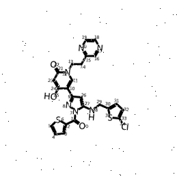 O=C(c1cccs1)n1nc(-c2cn(CCc3cnccn3)c(=O)cc2O)cc1NCc1ccc(Cl)s1